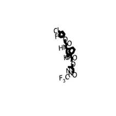 O=C(COc1ccc(Cl)c(F)c1)NC1CC(=O)C2(NC(=O)COc3cnn(CC(F)(F)F)c(=O)c3)CCCC1C2